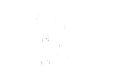 NC(=O)[C@H]1COc2ccccc2N1